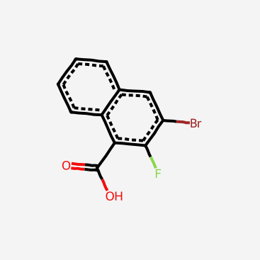 O=C(O)c1c(F)c(Br)cc2ccccc12